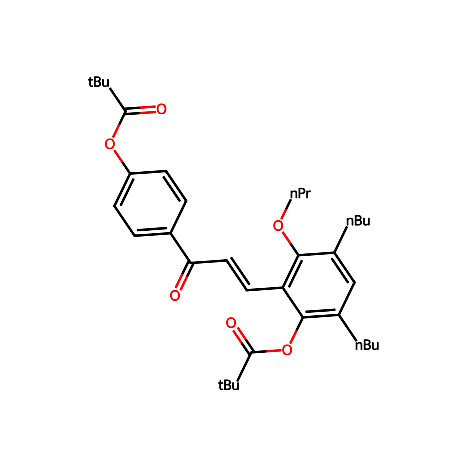 CCCCc1cc(CCCC)c(OC(=O)C(C)(C)C)c(/C=C/C(=O)c2ccc(OC(=O)C(C)(C)C)cc2)c1OCCC